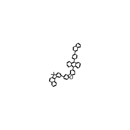 CC1(C)c2ccc(-c3ccc4oc5ccc(-c6c7ccccc7c(-c7ccc(-c8ccc9ccccc9c8)cc7)c7ccccc67)cc5c4c3)cc2-c2c1ccc1ccccc21